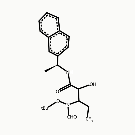 C[C@H](NC(=O)C(O)C(CC(F)(F)F)N(C=O)OC(C)(C)C)c1ccc2ccccc2c1